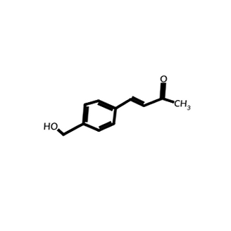 CC(=O)/C=C/c1ccc(CO)cc1